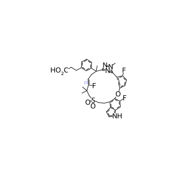 Cn1nc2nc1-c1cc(ccc1F)Oc1c(F)cc3[nH]ccc3c1CCS(=O)(=O)CC(C)(C)/C(F)=C/CC2(C)c1cccc(CCC(=O)O)c1